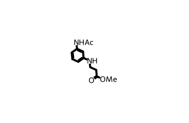 COC(=O)CCNc1cccc(NC(C)=O)c1